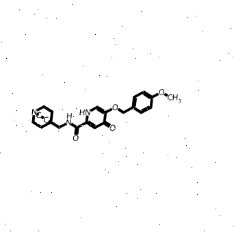 COc1ccc(COc2c[nH]c(C(=O)NCC34CCN(CC3)CC4)cc2=O)cc1